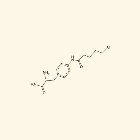 NC(Cc1ccc(NC(=O)CCCCCl)cc1)C(=O)O